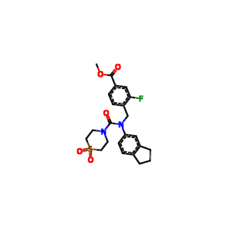 COC(=O)c1ccc(CN(C(=O)N2CCS(=O)(=O)CC2)c2ccc3c(c2)CCC3)c(F)c1